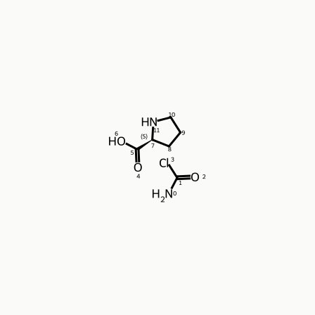 NC(=O)Cl.O=C(O)[C@@H]1CCCN1